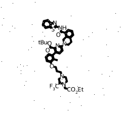 CCOC(=O)CN1CCN(CCCOc2cccc(-c3ccc(N4CCc5cccc(C(=O)Nc6nc7ccccc7s6)c5C4)nc3C(=O)OC(C)(C)C)c2C)C[C@@H]1C(F)(F)F